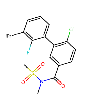 CC(C)c1cccc(-c2cc(C(=O)N(C)S(C)(=O)=O)ccc2Cl)c1F